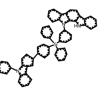 c1ccc(-n2c3ccccc3c3cc(-c4ccc([Si](c5ccccc5)(c5ccccc5)c5cccc(-n6c7ccccc7c7ccc8c9ccccc9[nH]c8c76)c5)cc4)ccc32)cc1